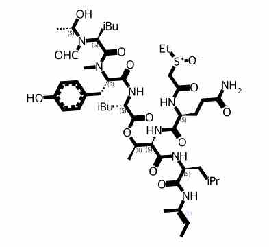 C/C=C(\C)NC(=O)[C@H](CC(C)C)NC(=O)[C@@H](NC(=O)[C@H](CCC(N)=O)NC(=O)C[S+]([O-])CC)[C@@H](C)OC(=O)[C@@H](NC(=O)[C@H](Cc1ccc(O)cc1)N(C)C(=O)[C@H](C(C)CC)N(C=O)[C@H](C)O)C(C)CC